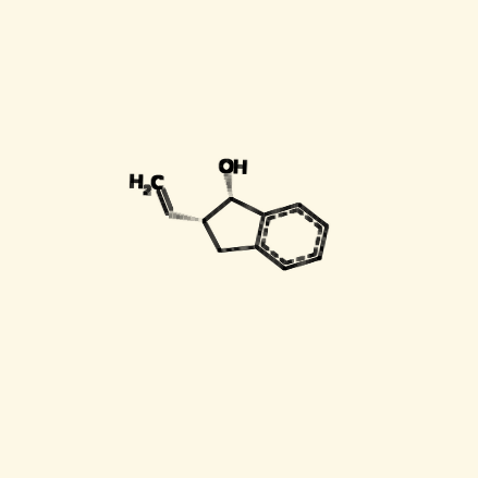 C=C[C@H]1Cc2ccccc2[C@H]1O